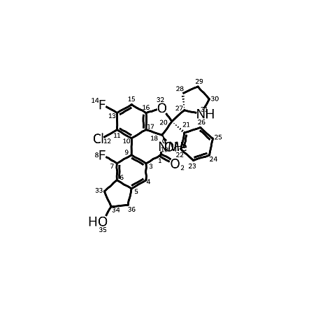 CNC(=O)c1cc2c(c(F)c1-c1c(Cl)c(F)cc3c1[C@H](O)[C@](c1ccccc1)([C@@H]1CCCN1)O3)CC(O)C2